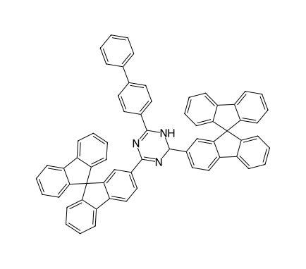 c1ccc(-c2ccc(C3=NC(c4ccc5c(c4)C4(c6ccccc6-c6ccccc64)c4ccccc4-5)=NC(c4ccc5c(c4)C4(c6ccccc6-c6ccccc64)c4ccccc4-5)N3)cc2)cc1